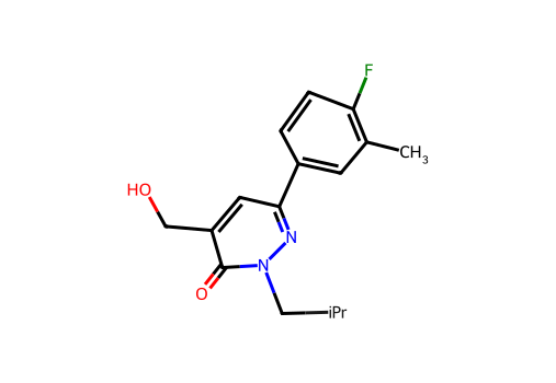 Cc1cc(-c2cc(CO)c(=O)n(CC(C)C)n2)ccc1F